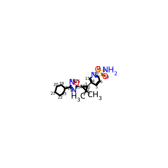 CC1(C)[C@H](c2ccc(S(N)(=O)=O)nc2)[C@H]1c1nc(C2CCCCC2)no1